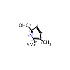 CSc1nc(C=O)ccc1C